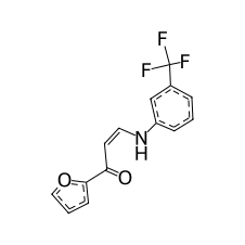 O=C(/C=C\Nc1cccc(C(F)(F)F)c1)c1ccco1